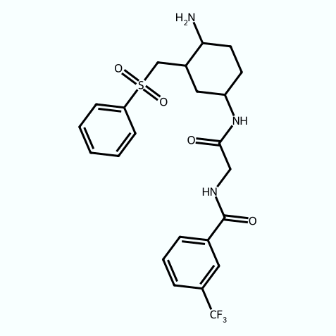 NC1CCC(NC(=O)CNC(=O)c2cccc(C(F)(F)F)c2)CC1CS(=O)(=O)c1ccccc1